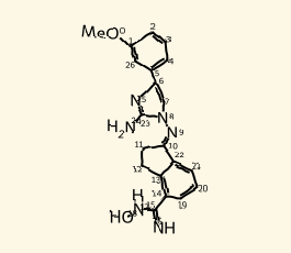 COc1cccc(-c2cn(N=C3CCc4c(C(=N)NO)cccc43)c(N)n2)c1